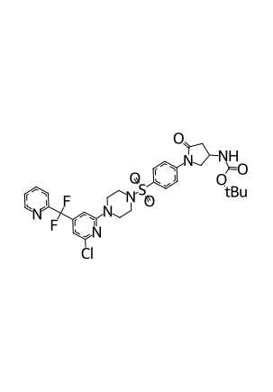 CC(C)(C)OC(=O)NC1CC(=O)N(c2ccc(S(=O)(=O)N3CCN(c4cc(C(F)(F)c5ccccn5)cc(Cl)n4)CC3)cc2)C1